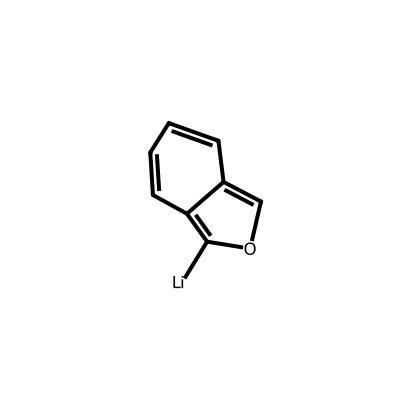 [Li][c]1occ2ccccc12